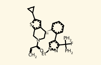 C=CC(=O)N1Cc2sc(C3CC3)cc2[C@H](c2ccccc2-c2cn(CC)nc2C(F)(P)P)C1